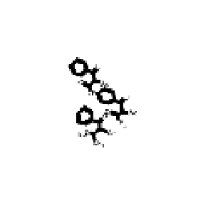 CC(=O)C(C(=O)c1ccccc1)C(=O)C(F)(F)F.CC(=O)C(C(=O)c1ccccc1)C(=O)C(F)(F)F.CC(=O)C(C(=O)c1ccccc1)C(=O)C(F)(F)F.[Eu+3]